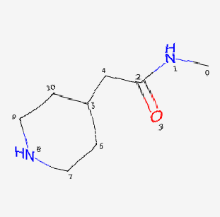 CNC(=O)CC1CCNCC1